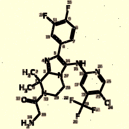 CC1(C)c2nc(-c3ccc(F)c(F)c3)c(Nc3cc(C(F)(F)F)c(Cl)cn3)n2CCN1C(=O)CN